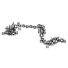 COc1cc(C(=O)NCCOCCOCCOCCOCCC(=O)N[C@H](C(=O)N[C@@H](C)C(=O)Nc2ccc(COC(=O)N3CCC(NC(=O)O[C@H]4CC[C@]5(C)C6CC[C@]7(C)[C@@H](C8=CCC(=O)C=C8)CC[C@]7(O)C6CC[C@@H]5C4)CC3)cc2)C(C)C)ccc1NC(=O)[C@@H]1N[C@@H](CC(C)(C)C)[C@](C#N)(c2ccc(Cl)cc2F)[C@H]1c1cccc(Cl)c1F